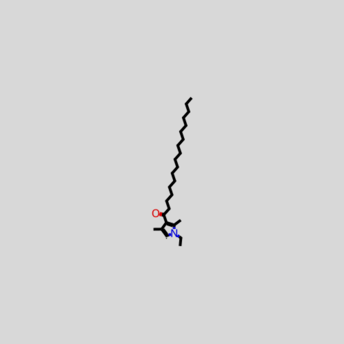 CCCCCCCCCCCCCCCCCC(=O)c1c(C)[c]n(CC)c1C